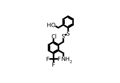 NCc1c(C(F)(F)F)ccc(Cl)c1CSSc1ccccc1CO